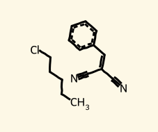 CCCCCCl.N#CC(C#N)=Cc1ccccc1